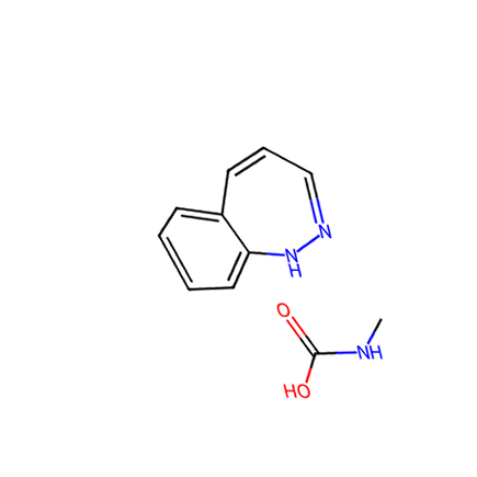 C1=Cc2ccccc2NN=C1.CNC(=O)O